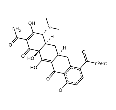 CCCCCC(=O)c1ccc(O)c2c1C[C@@H]1C[C@@H]3[C@@H](N(C)C)C(O)=C(C(N)=O)C(=O)[C@@]3(O)C(O)=C1C2=O